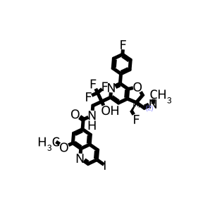 C/N=C\[C@@]1(CF)COc2c1cc(C(O)(CNC(=O)c1cc(OC)c3ncc(I)cc3c1)C(F)(F)F)nc2-c1ccc(F)cc1